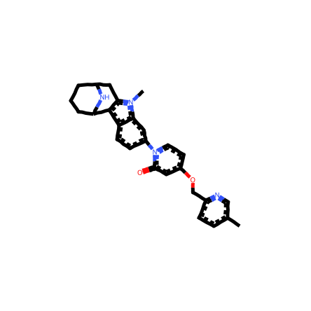 Cc1ccc(COc2ccn(-c3ccc4c5c(n(C)c4c3)CC3CCCC5N3)c(=O)c2)nc1